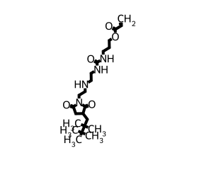 C=CC(=O)OCCCNC(=O)NCCNCCN1C(=O)CC(CC(C)(C)C(C)(C)C)C1=O